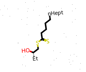 CCCCCCCCCCCC(=S)SC[C@@H](O)CC